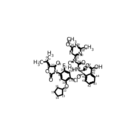 CC(C)=C1OC(=O)N(c2cc(OC3CCCC3)c(Cl)cc2F)C1=O.COc1nc(C)nc(N(C)C(=O)NS(=O)(=O)c2ccccc2C(=O)O)n1